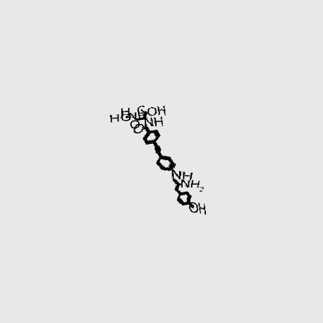 C[C@@H](O)[C@H](NC(=O)c1ccc(C#Cc2ccc(NC[C@@H](N)Cc3ccc(O)cc3)cc2)cc1)C(=O)NO